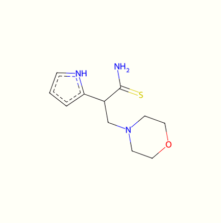 NC(=S)C(CN1CCOCC1)c1ccc[nH]1